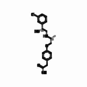 C[C@H](COc1ccc(CC(=O)O)cc1)NC[C@H](O)c1cccc(Cl)c1